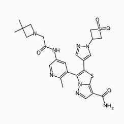 Cc1ncc(NC(=O)CN2CC(C)(C)C2)cc1-c1c(-c2cnn(C3CS(=O)(=O)C3)c2)sc2c(C(N)=O)cnn12